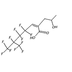 CC(O)CC(=CC(F)(F)C(F)(F)C(F)(C(F)(F)F)C(F)(F)F)C(=O)O